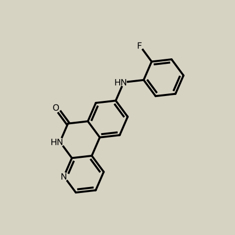 O=c1[nH]c2ncccc2c2ccc(Nc3ccccc3F)cc12